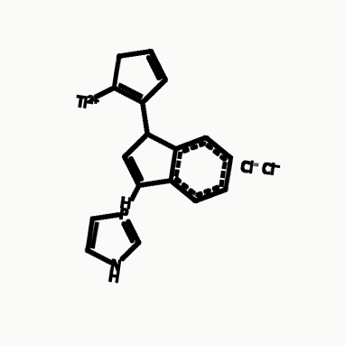 [Cl-].[Cl-].[Ti+2][C]1=C(C2C=C([PH]3=CNC=C3)c3ccccc32)C=CC1